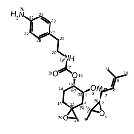 CO[C@H]1[C@H](C2(C)O[C@@H]2CC=C(C)C)[C@]2(CC[C@H]1OC(=O)NCCc1ccc(N)cc1)CO2